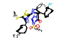 CCCS(=O)(=O)NC(=O)c1c(-c2cccc(F)c2)c(C)nn1-c1nc(-c2ccc(C(F)(F)F)cc2)c(SC(C)C)s1